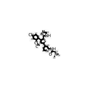 [C-]#[N+]c1c(-c2ccnc(NC(=O)CN(C)C)c2)sc(-c2nnc[nH]2)c1-c1ccc(Cl)cc1Cl